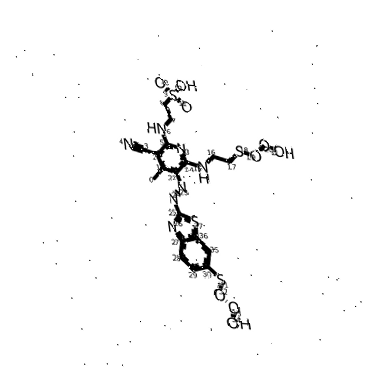 Cc1c(C#N)c(NCCS(=O)(=O)O)nc(NCCSOOO)c1N=Nc1nc2ccc(SOOO)cc2s1